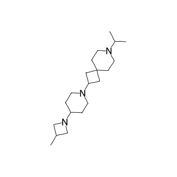 CC1CN(C2CCN(C3CC4(CCN(C(C)C)CC4)C3)CC2)C1